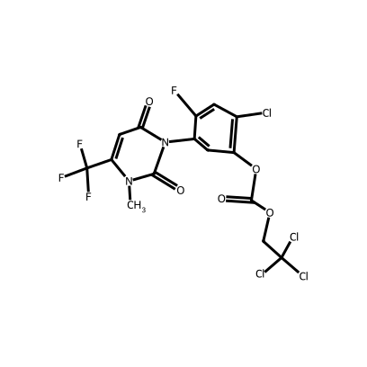 Cn1c(C(F)(F)F)cc(=O)n(-c2cc(OC(=O)OCC(Cl)(Cl)Cl)c(Cl)cc2F)c1=O